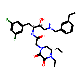 CCc1cccc(CNC[C@H](O)[C@H](Cc2cc(F)cc(F)c2)NC(=O)CN2C[C@H](CC)N(CC)C(=O)C2=O)c1